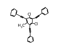 Cc1c(C#Cc2ccccc2)c(Cl)c(C#Cc2ccccc2)c(Cl)c1C#Cc1ccccc1